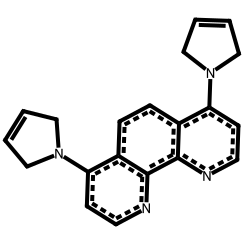 C1=CCN(c2ccnc3c2ccc2c(N4CC=CC4)ccnc23)C1